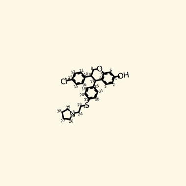 Oc1ccc2c(c1)OCC(c1ccc(Cl)cc1)C2c1ccc(SCCN2CCCC2)cc1